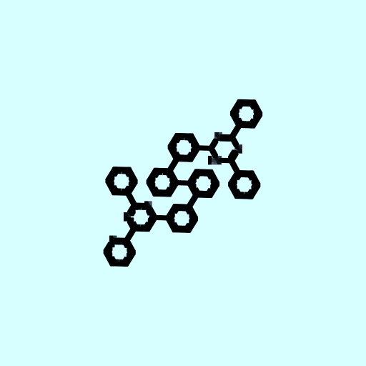 c1ccc(C2=NC(c3cccc(-c4ccccc4-c4ccccc4-c4cccc(-c5cc(-c6ccccn6)nc(-c6ccccc6)n5)c4)c3)NC(c3ccccc3)=N2)cc1